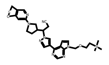 C[Si](C)(C)CCOCn1ccc2c(-c3cnn(C(CC#N)C4CCN(c5cc6c(cn5)CCO6)C4)c3)ncnc21